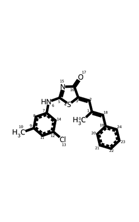 CC(/C=C1\SC(Nc2cc(C)cc(Cl)c2)=NC1=O)=C\c1ccccc1